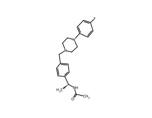 CC(=O)N[C@@H](C)c1ccc(CN2CCN(c3ccc(F)cc3)CC2)cc1